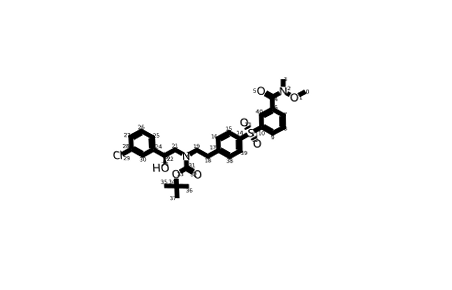 CON(C)C(=O)c1cccc(S(=O)(=O)c2ccc(CCN(C[C@@H](O)c3cccc(Cl)c3)C(=O)OC(C)(C)C)cc2)c1